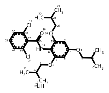 CC(C)COc1cc(OCC(C)C)c(PC(=O)c2c(Cl)cccc2Cl)c(OCC(C)C)c1.[LiH]